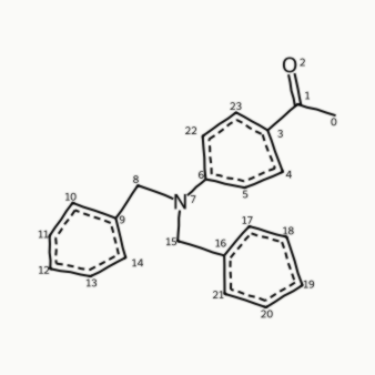 CC(=O)c1ccc(N(Cc2ccccc2)Cc2ccccc2)cc1